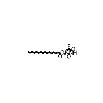 CCCCCCCCCCCCCCCC(=O)OCn1cc(F)c(=O)[nH]c1=O